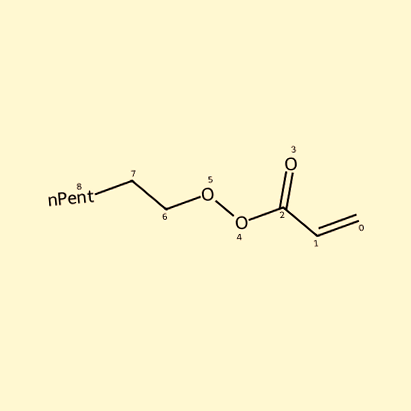 C=CC(=O)OOCCCCCCC